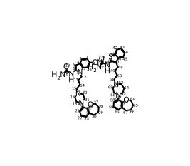 N#Cc1ccc2cc(NC(N)=O)n(CCCCN3CCN(c4cccc5c4OCCCC5)CC3)c2c1.NC(=O)Nc1sc2ccccc2c1CCCCN1CCCN(c2cccc3c2OCCCC3)CC1